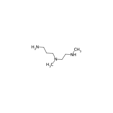 CNCCN(C)CCCN